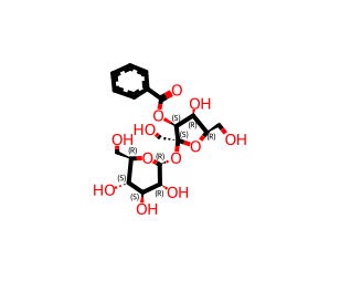 O=C(O[C@H]1[C@H](O)[C@@H](CO)O[C@@]1(CO)O[C@H]1O[C@H](CO)[C@@H](O)[C@H](O)[C@H]1O)c1ccccc1